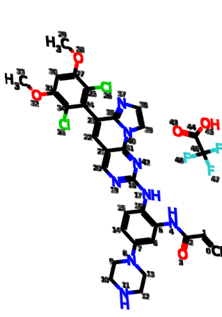 C=CC(=O)Nc1cc(N2CCNCC2)ccc1Nc1ncc2cc(-c3c(Cl)c(OC)cc(OC)c3Cl)c3nccn3c2n1.O=C(O)C(F)(F)F